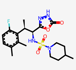 Cc1ccc(F)c([C@@H](C)[C@H](NS(=O)(=O)N2CCC(C)CC2)c2n[nH]c(=O)o2)c1C